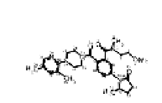 COCCN(C)C(=O)c1cc(N2C(=O)CCC2C)ccc1C(=O)N1CCN(c2ncc(C)cc2C)CC1